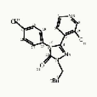 CC(C)(C)Cn1nc(-c2ccncc2Cl)n(-c2ccc(Cl)cc2)c1=O